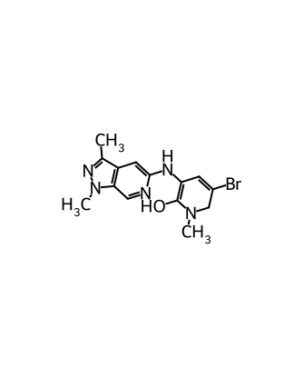 Cc1nn(C)c2cnc(NC3=C(O)N(C)CC(Br)=C3)cc12